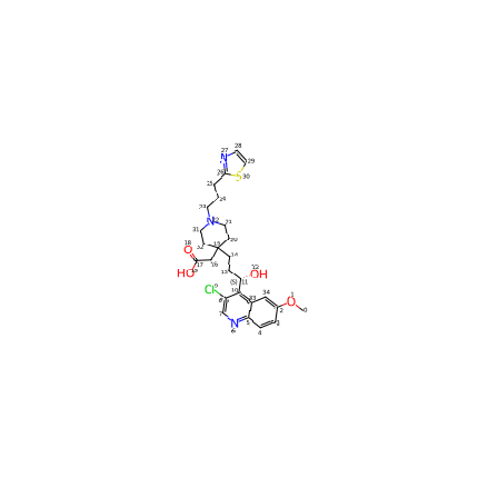 COc1ccc2ncc(Cl)c([C@@H](O)CCC3(CC(=O)O)CCN(CCCc4nccs4)CC3)c2c1